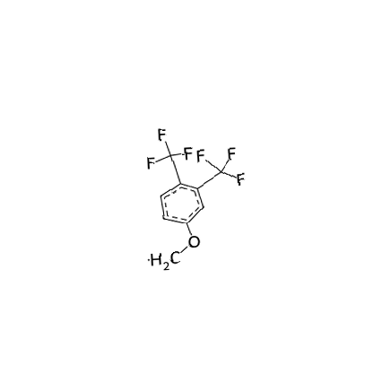 [CH2]Oc1ccc(C(F)(F)F)c(C(F)(F)F)c1